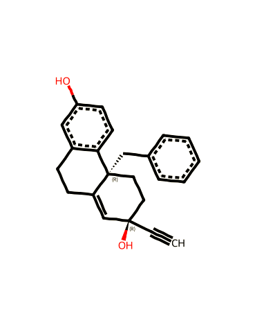 C#C[C@]1(O)C=C2CCc3cc(O)ccc3[C@@]2(Cc2ccccc2)CC1